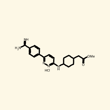 COC(=O)CC1CCC(Nc2ccc(-c3ccc(C(=N)N)cc3)nn2)CC1.Cl